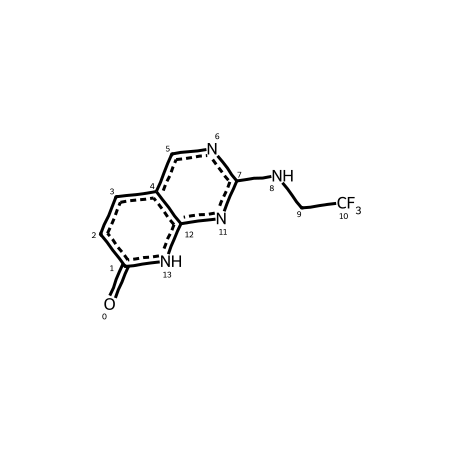 O=c1ccc2cnc(NCC(F)(F)F)nc2[nH]1